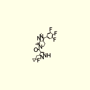 C[C@H]1c2nn(C)c(-c3cc(F)c(F)c(F)c3)c2CCN1C(=O)c1c[nH]nc1CC1(F)CC1